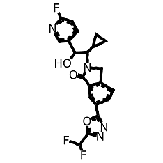 O=C1c2cc(-c3nnc(C(F)F)o3)ccc2CN1C(C1CC1)C(O)c1ccc(F)nc1